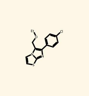 CCOCc1c(-c2ccc(Cl)cc2)nc2sccn12